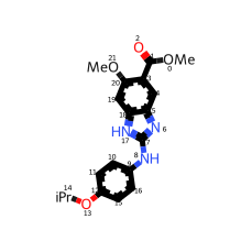 COC(=O)c1cc2nc(Nc3ccc(OC(C)C)cc3)[nH]c2cc1OC